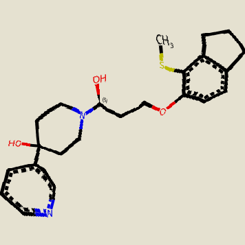 CSc1c(OCC[C@H](O)N2CCC(O)(c3cccnc3)CC2)ccc2c1CCC2